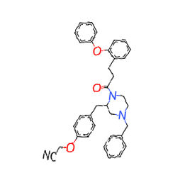 N#CCOc1ccc(CC2CN(Cc3ccccc3)CCN2C(=O)CCc2ccccc2Oc2ccccc2)cc1